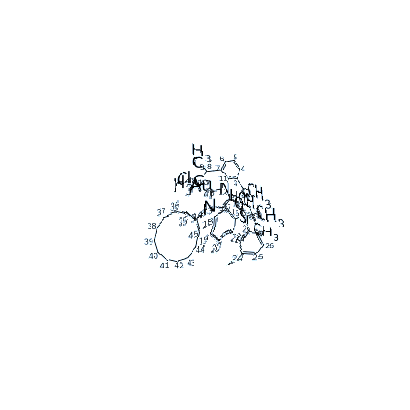 CC(C)c1cccc(C(C)C)c1-n1c(O[Si](c2ccccc2)(c2ccccc2)C(C)(C)C)cn(C2CCCCCCCCCCC2)/[c]1=[Au]\[Cl]